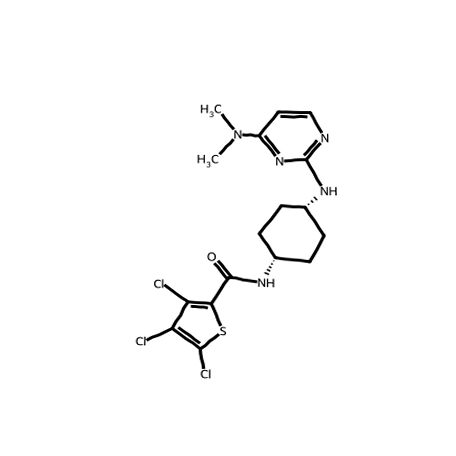 CN(C)c1ccnc(N[C@H]2CC[C@@H](NC(=O)c3sc(Cl)c(Cl)c3Cl)CC2)n1